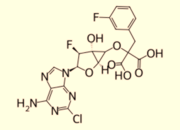 Nc1nc(Cl)nc2c1ncn2[C@@H]1O[C@@H]2C(OC(Cc3cccc(F)c3)(C(=O)O)C(=O)O)[C@]2(O)[C@@H]1F